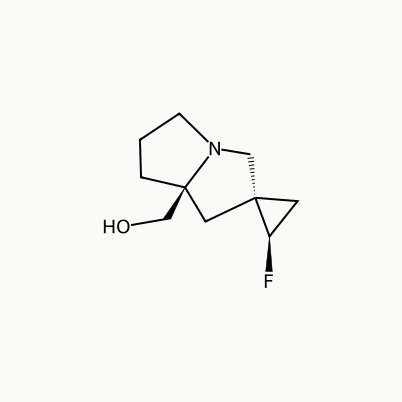 OC[C@@]12CCCN1C[C@@]1(C[C@H]1F)C2